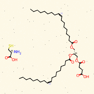 CCCCCCCC/C=C\CCCCCCCC(=O)OC[C@H](COC(=O)CCC(=O)O)OC(=O)CCCCCCC/C=C\CCCCCCCC.N[C@@H](CS)C(=O)O